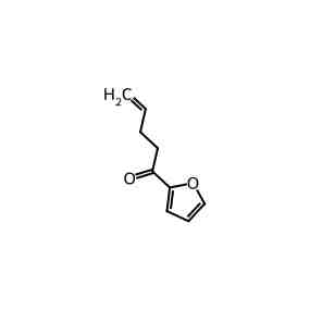 C=CCCC(=O)c1ccco1